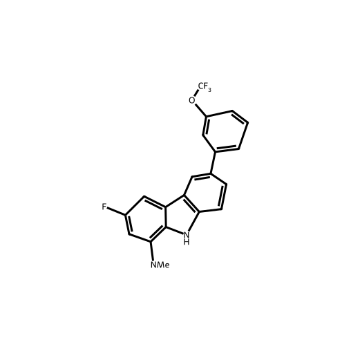 CNc1cc(F)cc2c1[nH]c1ccc(-c3cccc(OC(F)(F)F)c3)cc12